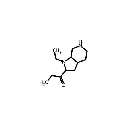 CCC(=O)C1CC2CCNCC2N1CC